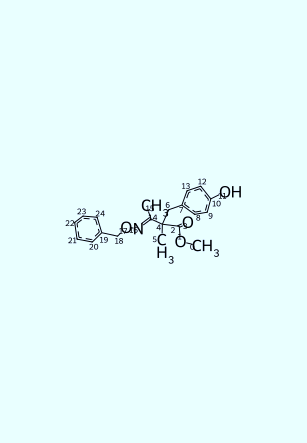 COC(=O)C(C)(Cc1ccc(O)cc1)C(C)=NOCc1ccccc1